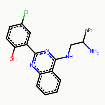 CCCC(N)CNc1nc(-c2cc(Cl)ccc2O)nc2ccccc12